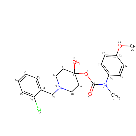 CN(C(=O)OC1(O)CCN(Cc2ccccc2Cl)CC1)c1ccc(OC(F)(F)F)cc1